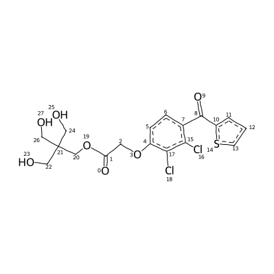 O=C(COc1ccc(C(=O)c2cccs2)c(Cl)c1Cl)OCC(CO)(CO)CO